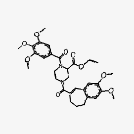 CCOC(=O)C1CN(C(=O)C2=Cc3cc(OC)c(OC)cc3CCC2)CCN1C(=O)c1cc(OC)c(OC)c(OC)c1